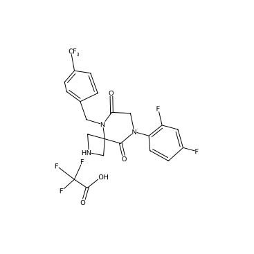 O=C(O)C(F)(F)F.O=C1CN(c2ccc(F)cc2F)C(=O)C2(CNC2)N1Cc1ccc(C(F)(F)F)cc1